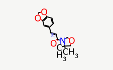 CC1(C)COCN1C(=O)/C=C/c1ccc2c(c1)OCO2